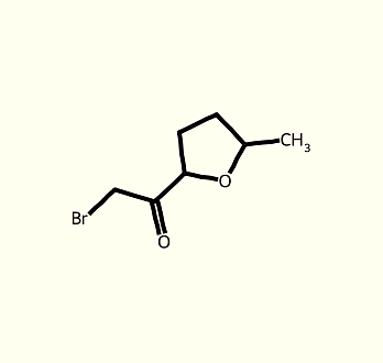 CC1CCC(C(=O)CBr)O1